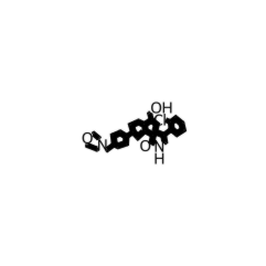 O=c1[nH]cc(-c2ccccc2Cl)c2cc(CO)c3ccc(-c4ccc(CN5CCOCC5)cc4)cc3c12